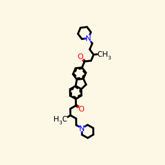 CC(CCN1CCCCC1)CC(=O)c1ccc2c(c1)Cc1cc(C(=O)CC(C)CCN3CCCCC3)ccc1-2